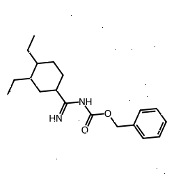 CCC1CCC(C(=N)NC(=O)OCc2ccccc2)CC1CC